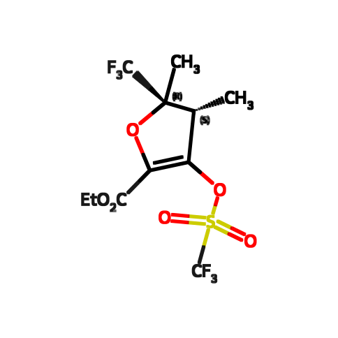 CCOC(=O)C1=C(OS(=O)(=O)C(F)(F)F)[C@@H](C)[C@](C)(C(F)(F)F)O1